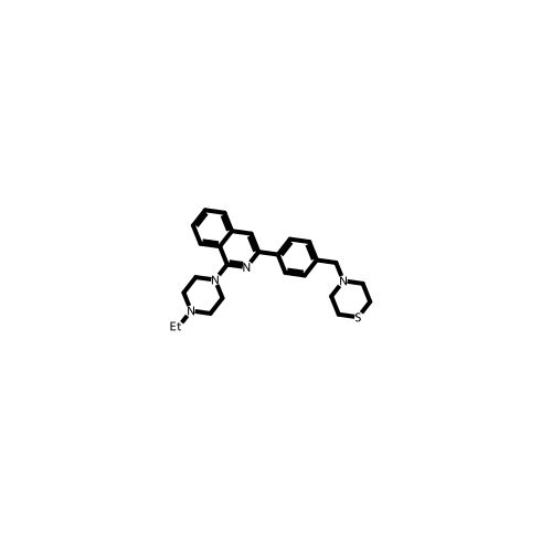 CCN1CCN(c2nc(-c3ccc(CN4CCSCC4)cc3)cc3ccccc23)CC1